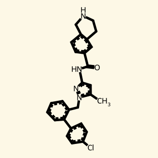 Cc1cc(NC(=O)c2ccc3c(c2)CCNC3)nn1Cc1ccccc1-c1ccc(Cl)cc1